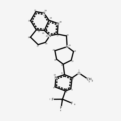 COc1cc(C(F)(F)F)cnc1C1CCN(Cc2nc3nccc4c3n2CCC4)CC1